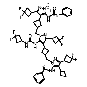 Cn1nc(C2CC(F)(F)C2)c(C2CC(Cn3nc(C4CC(F)(F)C4)c(C4CC(Cn5nc(C6CC(F)(F)C6)c(C6CCC6)c5NC(=O)c5ccccc5)C4)c3NC(=O)NC3CC(F)(F)C3)C2)c1NC(=O)Nc1ccccc1